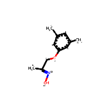 CC(COc1cc(C)cc(C)c1)=NO